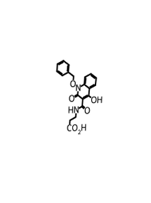 O=C(O)CCNC(=O)c1c(O)c2ccccc2n(OCc2ccccc2)c1=O